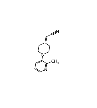 Cc1ncccc1N1CCC(=CC#N)CC1